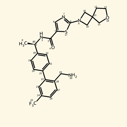 C[C@@H](NC(=O)c1cnc(N2CC3(CCOC3)C2)s1)c1ccc(-c2cc(C(F)(F)F)ccc2CN)cc1